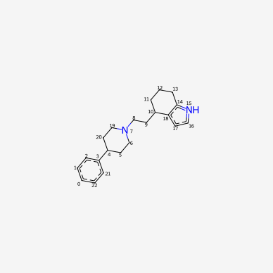 c1ccc(C2CCN(CCC3CCCc4[nH]ccc43)CC2)cc1